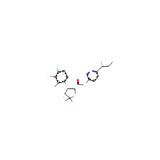 CC[C@H](O)c1ccc(NC(=O)[C@@H]2OC(C)(C)[C@H](C)[C@H]2c2ccc(F)c(F)c2C)cn1